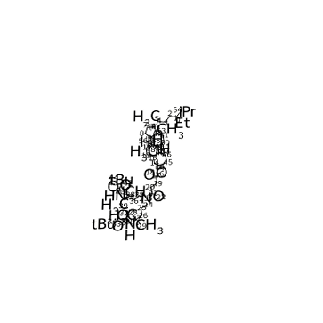 CCC(CCC(C)[C@H]1CC[C@H]2[C@@H]3CC=C4C[C@@H](OC(=O)CCC(=O)N(CCCC(C)(C)NC(=O)OC(C)(C)C)CCC(C)(C)NC(=O)OC(C)(C)C)CC[C@]4(C)[C@H]3CC[C@]12C)C(C)C